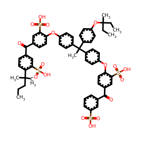 CCCC(C)(C)c1ccc(C(=O)c2ccc(Oc3ccc(C(C)(c4ccc(Oc5ccc(C(=O)c6cccc(S(=O)(=O)O)c6)cc5S(=O)(=O)O)cc4)c4ccc(OC(C)(CC)CC)cc4)cc3)c(S(=O)(=O)O)c2)cc1S(=O)(=O)O